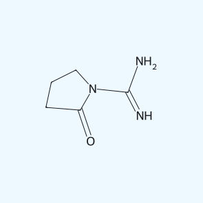 N=C(N)N1CCCC1=O